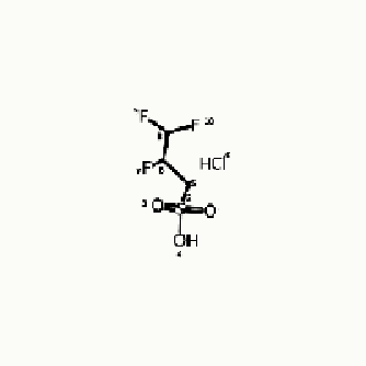 Cl.O=S(=O)(O)CC(F)C(F)F